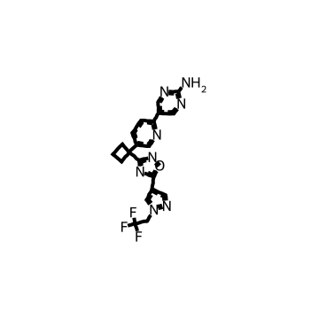 Nc1ncc(-c2ccc(C3(c4noc(-c5cnn(CC(F)(F)F)c5)n4)CCC3)cn2)cn1